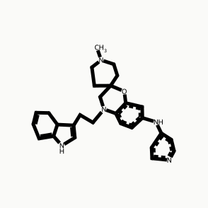 CN1CCC2(CC1)CN(CCC1=CNC3=CC=CCC13)c1ccc(Nc3ccncc3)cc1O2